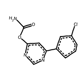 NC(=O)Oc1cc(-c2cccc(Cl)c2)ncn1